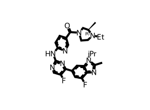 CCN1CCN(C(=O)c2ccc(Nc3ncc(F)c(-c4cc(F)c5nc(C)n(C(C)C)c5c4)n3)nc2)C[C@H]1C